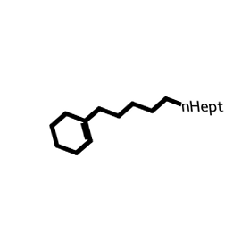 CCCCCCCCCCCCC1=CCCCC1